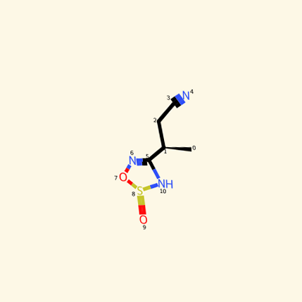 C[C@H](CC#N)C1=NOS(=O)N1